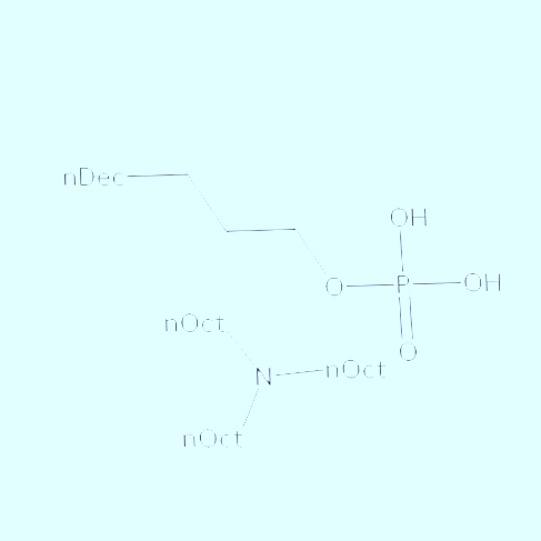 CCCCCCCCCCCCCOP(=O)(O)O.CCCCCCCCN(CCCCCCCC)CCCCCCCC